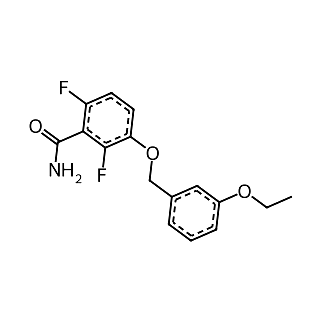 CCOc1cccc(COc2ccc(F)c(C(N)=O)c2F)c1